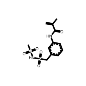 C=C(C)C(=O)Nc1cccc(CS(=O)(=O)NS(C)(=O)=O)c1